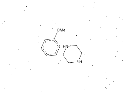 C1CNCCN1.COc1ccccc1